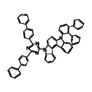 c1ccc(-c2ccc(-c3nc(-c4ccc(-c5ccccc5)cc4)nc(-n4c5ccccc5c5c6c7ccccc7n(-c7cccc(-c8ccccc8)c7-c7ccccc7)c6ccc54)n3)cc2)cc1